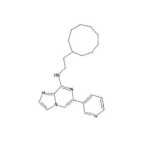 c1cncc(-c2cn3ccnc3c(NCCC3CCCCCCCC3)n2)c1